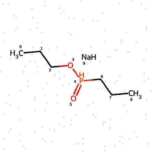 CCCO[PH](=O)CCC.[NaH]